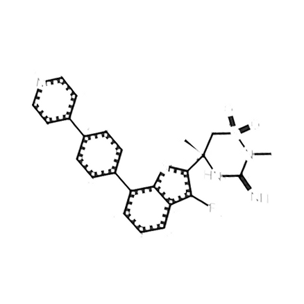 CN1C(=N)N[C@](C)(c2sc3c(-c4ccc(-c5ccncc5)cc4)cccc3c2F)CS1(=O)=O